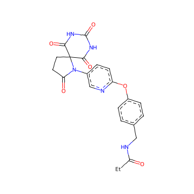 CCC(=O)NCc1ccc(Oc2ccc(N3C(=O)CCC34C(=O)NC(=O)NC4=O)cn2)cc1